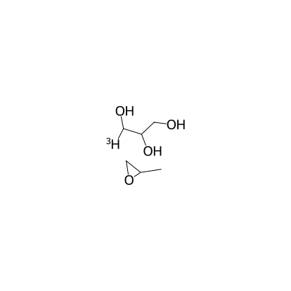 CC1CO1.[3H]C(O)C(O)CO